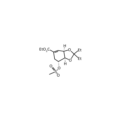 CCOC(=O)C1=C[C@H]2OC(CC)(CC)O[C@H]2[C@H](OS(C)(=O)=O)C1